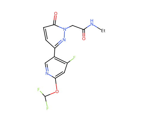 CCNC(=O)Cn1nc(-c2cnc(OC(F)F)cc2F)ccc1=O